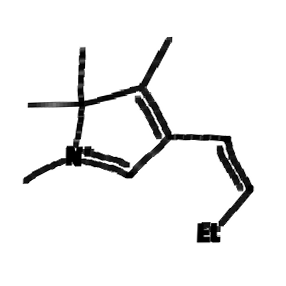 CC/C=C\C1=C(C)C(C)(C)[N+](C)=C1